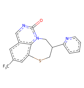 O=c1ncc2cc(C(F)(F)F)cc3c2n1CC(c1ccccn1)CS3